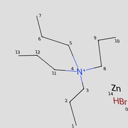 Br.CCC[N+](CCC)(CCC)CCC.[Zn]